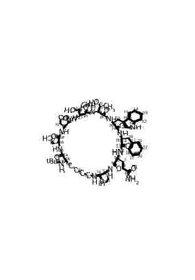 CC(C)C[C@@H]1NC(=O)[C@H](CCC(N)=O)NC(=O)[C@H](Cc2ccccc2)NC(=O)[C@H](Cc2c[nH]c3ccccc23)NC(=O)[C@H]([C@@H](C)O)NC(=O)[C@H]([C@@H](C)O)NC(=O)[C@H](CC(=O)O)NC(=O)[C@H](CO)NC(=O)[C@@H](NC(C)(C)C)CCCCNC1=O